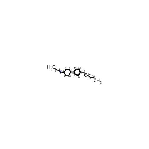 CC/C=C/C1CCC(c2ccc(COCCCC)cc2)CC1